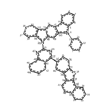 c1ccc(-n2c3ccccc3c3cc4c5ccccc5n(-c5nc(-c6ccc7sc8c9ccccc9ccc8c7c6)c6ccccc6n5)c4cc32)cc1